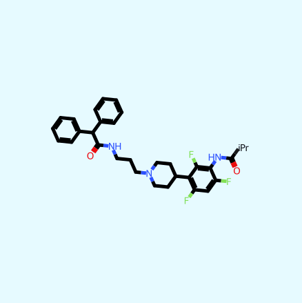 CC(C)C(=O)Nc1c(F)cc(F)c(C2CCN(CCCNC(=O)C(c3ccccc3)c3ccccc3)CC2)c1F